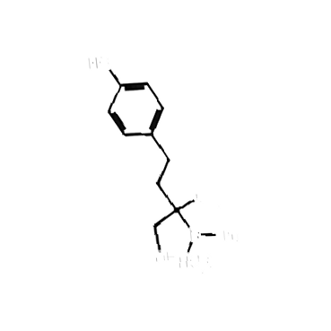 CC(C)(C)N(C(=O)O)C(C)(CO)CCc1ccc(O)cc1